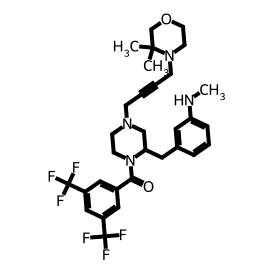 CNc1cccc(CC2CN(CC#CCN3CCOCC3(C)C)CCN2C(=O)c2cc(C(F)(F)F)cc(C(F)(F)F)c2)c1